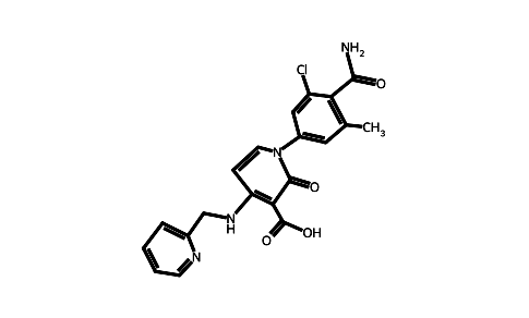 Cc1cc(-n2ccc(NCc3ccccn3)c(C(=O)O)c2=O)cc(Cl)c1C(N)=O